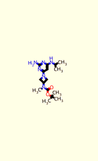 CC(C)Nc1cc(N2CC(N(C)C(=O)OC(C)(C)C)C2)nc(N)n1